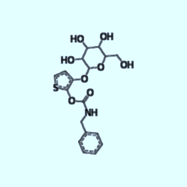 O=C(NCc1ccccc1)Oc1sccc1OC1OC(CO)C(O)C(O)C1O